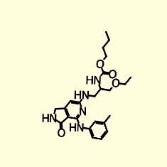 CCCCOC(=O)NC(CNc1cc2c(c(Nc3cccc(C)c3)n1)C(=O)NC2)COCC